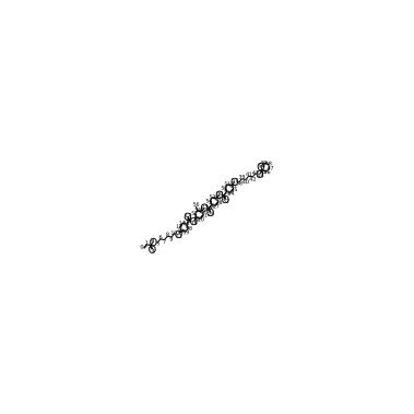 C=CC(=O)OCCCCCCOc1ccc(C(=O)Oc2ccc(OC(=O)c3ccc(OC(=O)c4ccc(OCCCCCCOC5CCCCO5)cc4)cc3)c(C)c2)cc1